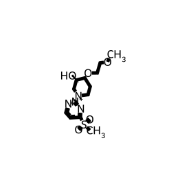 COCCO[C@H]1CCN([n+]2nccc(S(C)(=O)=O)n2)C[C@H]1O